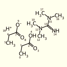 CCC(=O)O.CCC(=O)[O-].CN(C)C(=N)N(C)C.[H+]